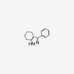 c1ccc(-c2n[nH]c3c2CCCC3)cc1